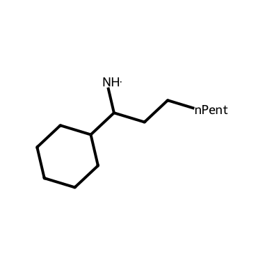 CCCCCCCC([NH])C1CCCCC1